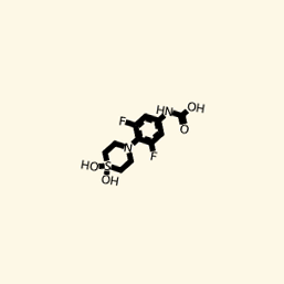 O=C(O)Nc1cc(F)c(N2CCS(O)(O)CC2)c(F)c1